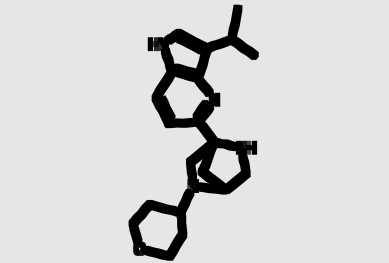 CC(C)c1c[nH]c2ccc(C34CC(CN3)N(C3CCOCC3)C4)nc12